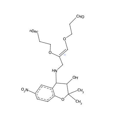 CCCCCCCCCCCCO/C(=C\OCCC=O)CNC1c2cc([N+](=O)[O-])ccc2OC(C)(C)C1O